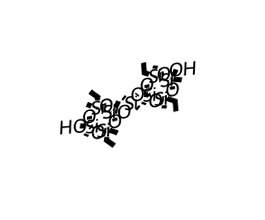 CC[Si]1(C)O[Si](C)(O)O[Si](C)(CC)O[Si](C)(O[Si](C)(C)O[Si]2(C)O[Si](C)(CC)O[Si](C)(O)O[Si](C)(CC)O2)O1